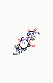 CCn1c(-c2cccnc2COC)c2c3cc(ccc31)-c1cc(O)cc(c1)C[C@H](NC(=O)C(C(C)C)N(C)C(=O)[C@H]1CCN(C(=O)C#CC3(N(C)C)COC3)C1)C(=O)N1CCC[C@H](N1)C(=O)OCC(C)(C)C2